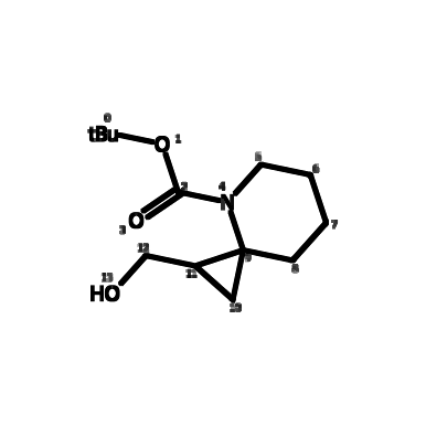 CC(C)(C)OC(=O)N1CCCCC12CC2CO